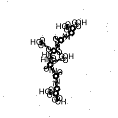 COc1cc(N=Nc2ccc3cc(S(=O)(=O)O)cc(S(=O)(=O)O)c3c2)ccc1N=Nc1cc(OCCCS(=O)(=O)O)c(NC(=O)Nc2cc(OC)c(N=Nc3ccc(N=Nc4ccc5cc(S(=O)(=O)O)cc(S(=O)(=O)O)c5c4)cc3OC)cc2OCCCS(=O)(=O)O)cc1OC